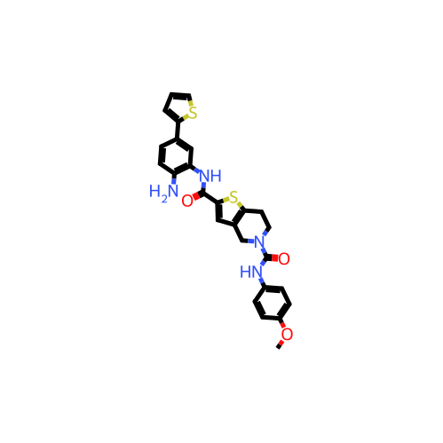 COc1ccc(NC(=O)N2CCc3sc(C(=O)Nc4cc(-c5cccs5)ccc4N)cc3C2)cc1